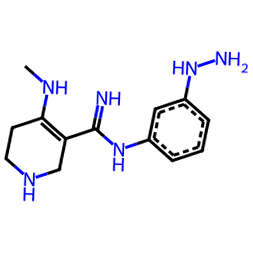 CNC1=C(C(=N)Nc2cccc(NN)c2)CNCC1